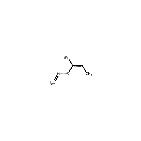 C=NS/C(=C\C)C(C)C